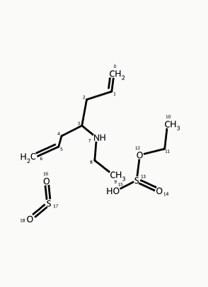 C=CCC(CC=C)NCC.CCOS(=O)O.O=S=O